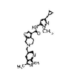 Cc1n[nH]c2ncc(CN3CCc4c(C(=O)Nc5cc(C6CC6)nn5C)csc4C3)cc12